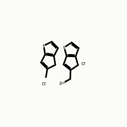 CC1=Cc2sccc2C1.[Cl-].[Cl-].[Zr+2][CH2]C1=Cc2sccc2C1